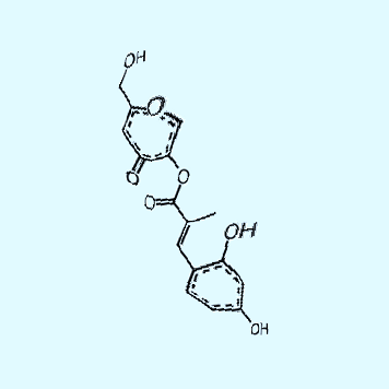 C/C(=C\c1ccc(O)cc1O)C(=O)Oc1coc(CO)cc1=O